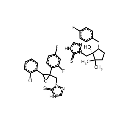 CC1(C)CC[C@@H](Cc2ccc(F)cc2)[C@]1(O)Cn1nc[nH]c1=S.Fc1ccc(C2(Cn3nc[nH]c3=S)OC2c2ccccc2Cl)c(F)c1